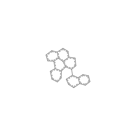 c1ccc2c(-c3ccc4ccc5cccc6c7ccccc7c3c4c56)cccc2c1